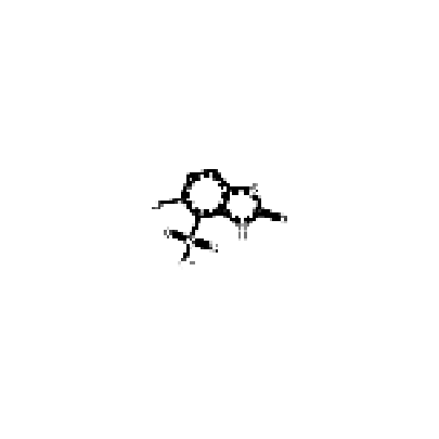 O=S(=O)(O)c1c(Cl)ccc2sc(=S)[nH]c12